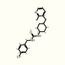 Cc1ncccc1CC1CCC(NC(=O)NCc2ccc(Cl)cc2)CC1